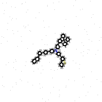 c1ccc(C2(c3ccccc3)c3ccccc3-c3ccc(-c4ccc(N(c5ccc(-c6ccc(-c7cccc(-c8ccc9ccccc9c8)c7)cc6)cc5)c5ccc(-c6ccc7sc8ccccc8c7c6)cc5)cc4)cc32)cc1